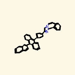 c1ccc2cc(-c3c4ccccc4c(-c4ccc(-c5cn6ccc7ccccc7c6n5)cc4)c4ccccc34)ccc2c1